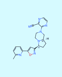 Cc1cccc(-c2cc([C@@H]3CC[C@@H]4CN(c5nccnc5C#N)CCN43)no2)n1